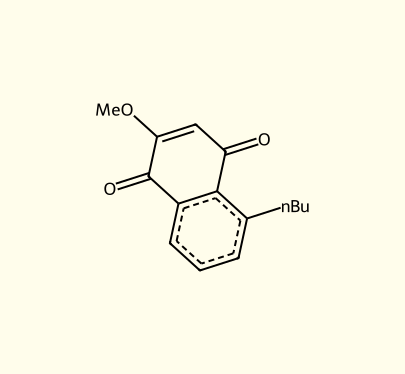 CCCCc1cccc2c1C(=O)C=C(OC)C2=O